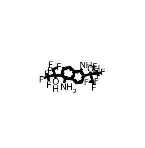 Nc1c(C(O)(C(F)(F)F)C(F)(F)F)ccc2c(N)c(C(O)(C(F)(F)F)C(F)(F)F)ccc12